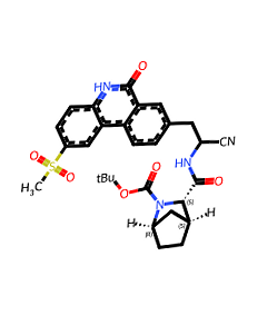 CC(C)(C)OC(=O)N1[C@@H]2CC[C@@H](C2)[C@H]1C(=O)NC(C#N)Cc1ccc2c(c1)c(=O)[nH]c1ccc(S(C)(=O)=O)cc12